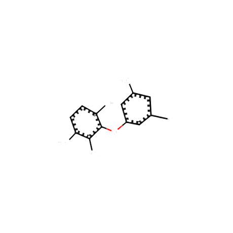 Cc1cc(C)cc(Oc2c(C)ccc(C)c2C)c1